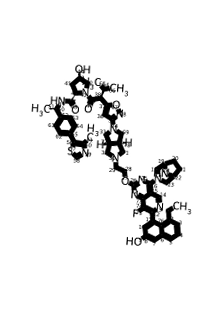 CCc1cccc2cc(O)cc(-c3ncc4c(N5CC6CCC(C5)N6)nc(OCCN5C[C@@H]6CN(c7cc([C@@H](C(=O)N8C[C@H](O)C[C@H]8C(=O)N[C@@H](C)c8ccc(-c9scnc9C)cc8)C(C)C)on7)C[C@H]6C5)nc4c3F)c12